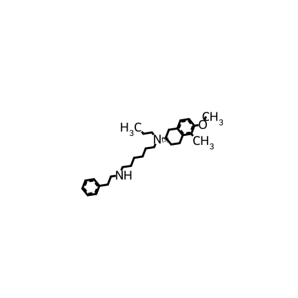 CCCN(CCCCCCNCCc1ccccc1)[C@H]1CCc2c(ccc(OC)c2C)C1